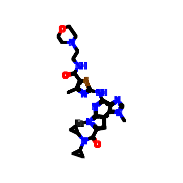 CCn1c(C(=O)N(C2CC2)C2CC2)cc2c3c(ncn3C)c(Nc3nc(C)c(C(=O)NCCN4CCOCC4)s3)nc21